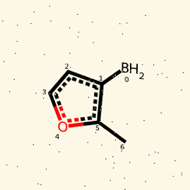 Bc1ccoc1C